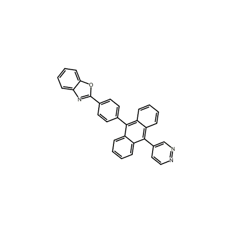 c1ccc2oc(-c3ccc(-c4c5ccccc5c(-c5ccnnc5)c5ccccc45)cc3)nc2c1